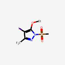 CCOc1c(I)c(C(F)(F)F)nn1S(C)(=O)=O